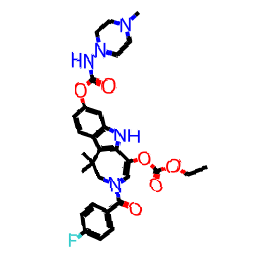 CCOC(=O)OC1=CN(C(=O)c2ccc(F)cc2)CC(C)(C)c2c1[nH]c1cc(OC(=O)NN3CCN(C)CC3)ccc21